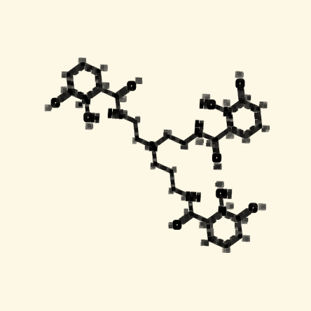 O=C(NCCCN(CCNC(=O)c1cccc(=O)n1O)CCNC(=O)c1cccc(=O)n1O)c1cccc(=O)n1O